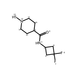 O=C(NC1CC(F)(F)C1)C1CCN(S)CC1